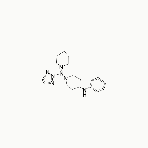 c1ccc(NC2CCN(N(N3CCCCC3)n3nccn3)CC2)cc1